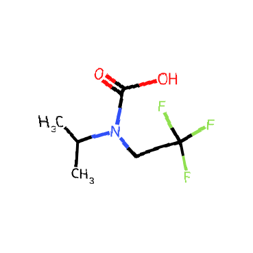 CC(C)N(CC(F)(F)F)C(=O)O